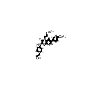 CCCOCCn1c(=O)c(NC2CCN(CCO)CC2)nc2ncc(-c3ccc(OC)nc3)cc21